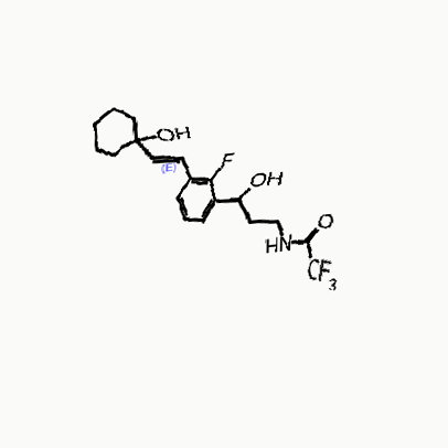 O=C(NCCC(O)c1cccc(/C=C/C2(O)CCCCC2)c1F)C(F)(F)F